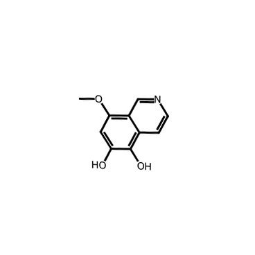 COc1cc(O)c(O)c2ccncc12